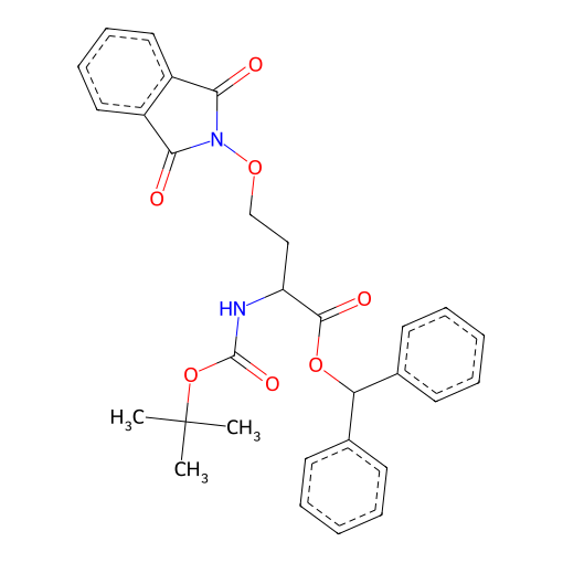 CC(C)(C)OC(=O)NC(CCON1C(=O)c2ccccc2C1=O)C(=O)OC(c1ccccc1)c1ccccc1